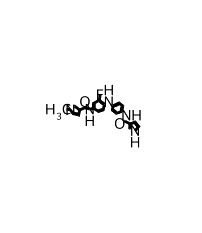 CN1C=CC(C(=O)Nc2ccc(Nc3ccc(NC(=O)c4cc[nH]c4)cc3)c(F)c2)C1